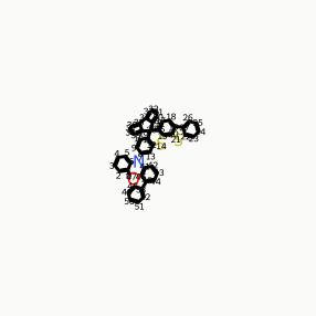 Cc1ccccc1N(c1ccc2c(c1)Sc1c(ccc3c1sc1ccccc13)C21c2ccccc2-c2ccccc21)c1cccc2c1oc1ccccc12